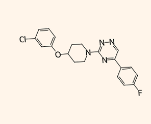 Fc1ccc(-c2cnnc(N3CCC(Oc4cccc(Cl)c4)CC3)n2)cc1